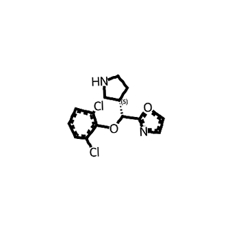 Clc1cccc(Cl)c1OC(c1ncco1)[C@H]1CCNC1